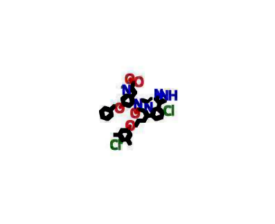 COC(=O)c1cc2c(N3C[C@@H](C)n4c(c(CCCOc5cc(C)c(Cl)c(C)c5)c5ccc(Cl)c(-c6cn[nH]c6)c54)C3=O)cc(OCc3ccccc3)cc2n1C